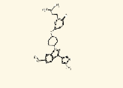 CCNc1cc2c(cn1)c(-c1cnn(C)c1)nn2C1CCC(Oc2ccc(=O)n(CCN(C)C)n2)CC1